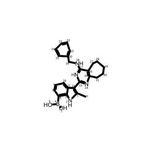 Cc1[nH]c2c(B(O)O)cccc2c1-c1nc2c(c(NCc3ccccc3)n1)CCCCC2